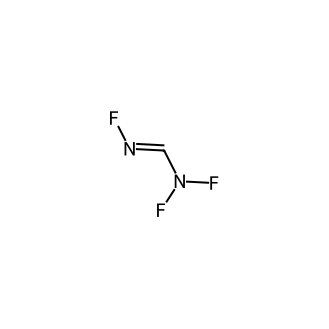 FN=CN(F)F